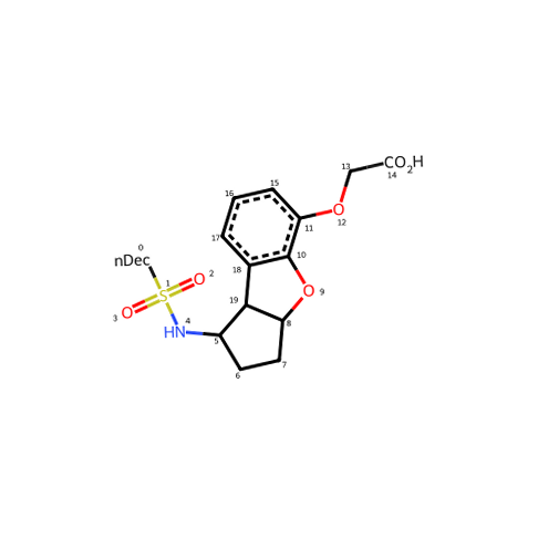 CCCCCCCCCCS(=O)(=O)NC1CCC2Oc3c(OCC(=O)O)cccc3C12